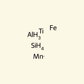 [AlH3].[Fe].[Mn].[SiH4].[Ti]